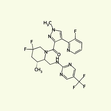 C[C@@H]1CC(F)(F)CN(C(=O)c2nn(C)cc2-c2ncccc2F)C1CNc1ncc(C(F)(F)F)cn1